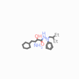 CCC(CC)CN(NC(=O)C(O)[C@H](N)CC1CCCCC1)c1ccccc1